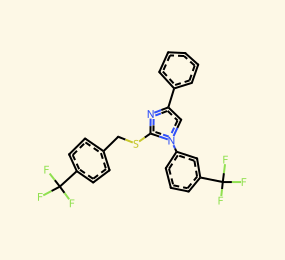 FC(F)(F)c1ccc(CSc2nc(-c3ccccc3)cn2-c2cccc(C(F)(F)F)c2)cc1